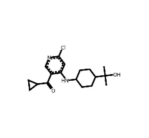 CC(C)(O)C1CCC(Nc2cc(Cl)ncc2C(=O)C2CC2)CC1